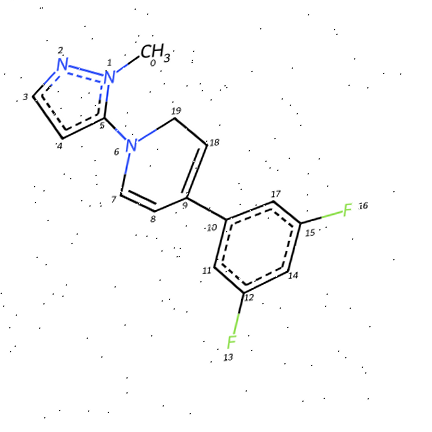 Cn1nccc1N1C=CC(c2cc(F)cc(F)c2)=CC1